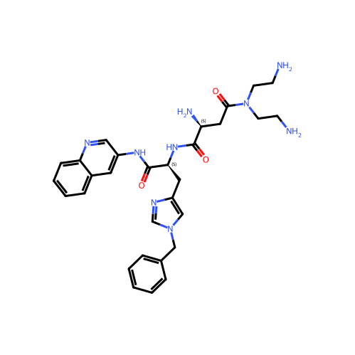 NCCN(CCN)C(=O)C[C@H](N)C(=O)N[C@@H](Cc1cn(Cc2ccccc2)cn1)C(=O)Nc1cnc2ccccc2c1